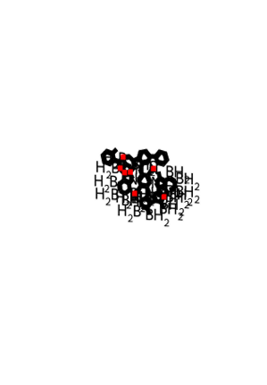 BC(=C)/C(B)=C(/B)c1c2c(n(-c3c(C#N)c(-n4c5c(c6ccc7c8ccccc8sc7c64)/C=C\C(c4ccccc4C)C#CC5)c(-n4c5c(c6c4C(B)C(B)C(B)=C6B)C(B)=C(B)C5B)c(C#N)c3-n3c4c(c5c3C(B)C(B)=C5B)C(B)=C(B)C4B)c1C)C(B)C(B)=C2B